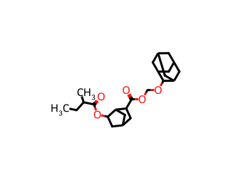 CCC(C)C(=O)OC1CC2CC(C(=O)OCOC3C4CC5CC(C4)CC3C5)C1C2